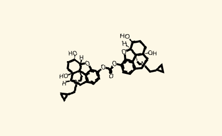 O=C(Oc1ccc2c3c1O[C@H]1[C@@H](O)CC[C@@]4(O)C(C2)N(CC2CC2)CC[C@]314)Oc1ccc2c3c1O[C@H]1[C@@H](O)CC[C@@]4(O)[C@@H](C2)N(CC2CC2)CC[C@]314